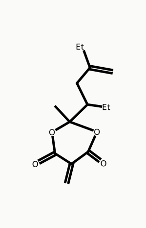 C=C(CC)CC(CC)C1(C)OC(=O)C(=C)C(=O)O1